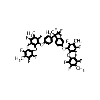 Cc1c(F)c(F)c(Oc2c(F)c(F)c(C)c(F)c2Oc2ccc(C(C)(c3ccc(Oc4c(F)c(C)c(F)c(F)c4Oc4c(F)c(F)c(C)c(F)c4F)cc3)C(F)(F)F)cc2)c(F)c1F